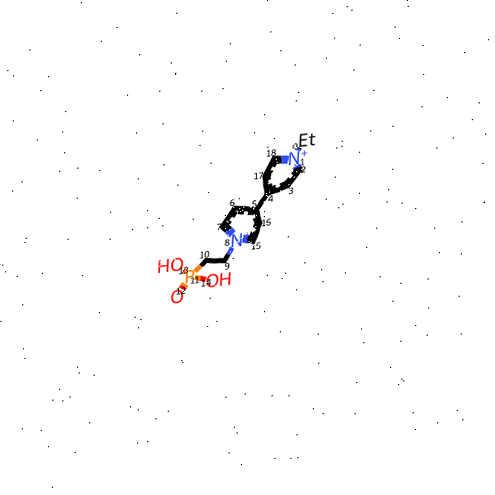 CC[n+]1ccc(-c2cc[n+](CCP(=O)(O)O)cc2)cc1